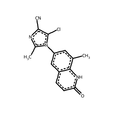 Cc1cc(-n2c(C)nc(C#N)c2Cl)cc2ccc(=O)[nH]c12